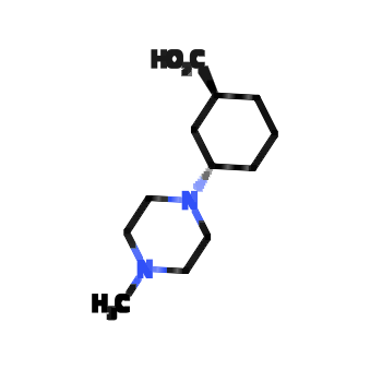 CN1CCN([C@H]2CCC[C@H](C(=O)O)C2)CC1